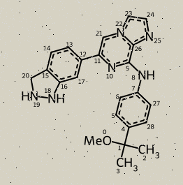 COC(C)(C)c1ccc(Nc2nc(-c3ccc4c(c3)NNC4)cn3ccnc23)cc1